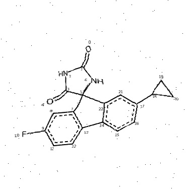 O=C1NC(=O)C2(N1)c1cc(F)ccc1-c1ccc(C3CC3)cc12